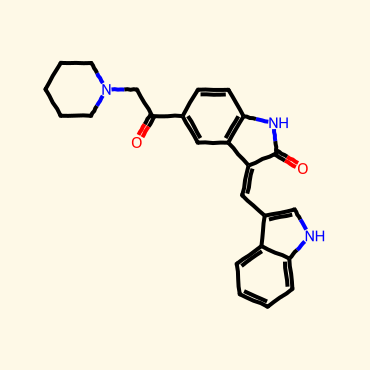 O=C1Nc2ccc(C(=O)CN3CCCCC3)cc2C1=Cc1c[nH]c2ccccc12